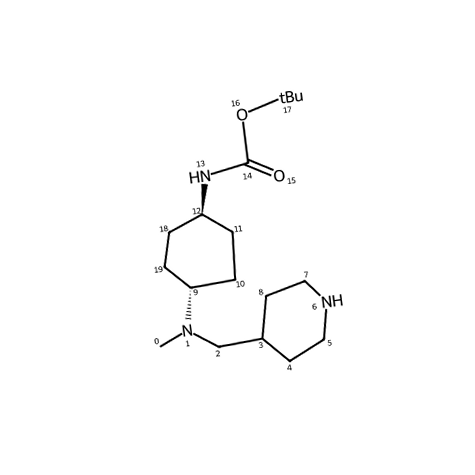 CN(CC1CCNCC1)[C@H]1CC[C@H](NC(=O)OC(C)(C)C)CC1